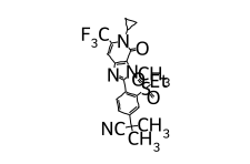 CCS(=O)(=O)c1cc(C(C)(C)C#N)ccc1-c1nc2cc(C(F)(F)F)n(C3CC3)c(=O)c2n1C